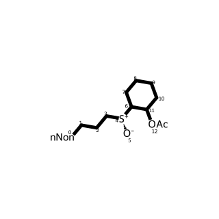 CCCCCCCCCCCC[S@@+]([O-])C1CCCCC1OC(C)=O